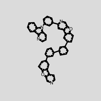 c1cc(-c2cccc(-c3ccc4oc5cnc(-c6cccc(-n7c8ccccc8c8ncccc87)c6)cc5c4c3)c2)cc(-c2ccc3oc4cnccc4c3c2)c1